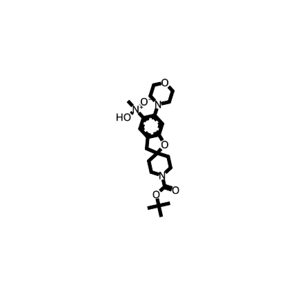 CC(C)(C)OC(=O)N1CCC2(CC1)Cc1cc([N+](C)([O-])O)c(N3CCOCC3)cc1O2